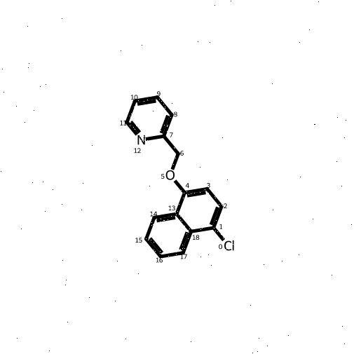 Clc1ccc(OCc2ccccn2)c2ccccc12